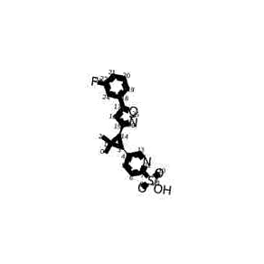 CC1(C)[C@@H](c2ccc(S(=O)(=O)O)nc2)[C@@H]1c1cc(-c2cccc(F)c2)on1